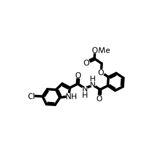 COC(=O)COc1ccccc1C(=O)NNC(=O)c1cc2cc(Cl)ccc2[nH]1